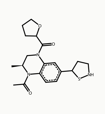 CC(=O)N1c2ccc(C3CCNS3)cc2N(C(=O)C2CCCO2)C[C@@H]1C